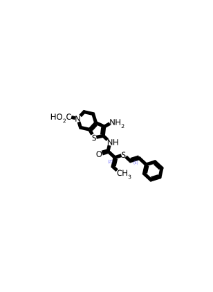 C/C=C(\S/C=C/c1ccccc1)C(=O)Nc1sc2c(c1N)CCN(C(=O)O)C2